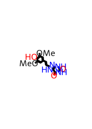 COc1cc(/C=C/c2nc3[nH]c(=O)[nH]c(=O)c3[nH]2)cc(OC)c1O